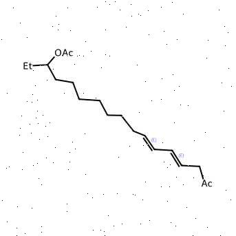 CCC(CCCCCCC/C=C/C=C/CC(C)=O)OC(C)=O